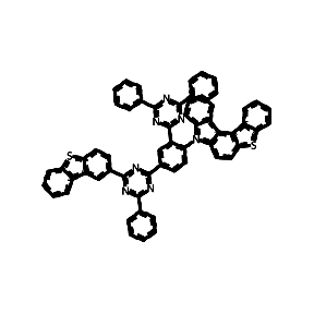 c1ccc(-c2nc(-c3ccc(-n4c5ccccc5c5c6c(ccc54)sc4ccccc46)c(-c4nc(-c5ccccc5)nc(-c5ccccc5)n4)c3)nc(-c3ccc4sc5ccccc5c4c3)n2)cc1